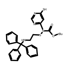 CC(C)(C)OC(=O)N(SCCNC(c1ccccc1)(c1ccccc1)c1ccccc1)c1cc(S)ncn1